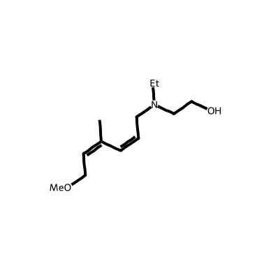 CCN(C/C=C\C(C)=C/COC)CCO